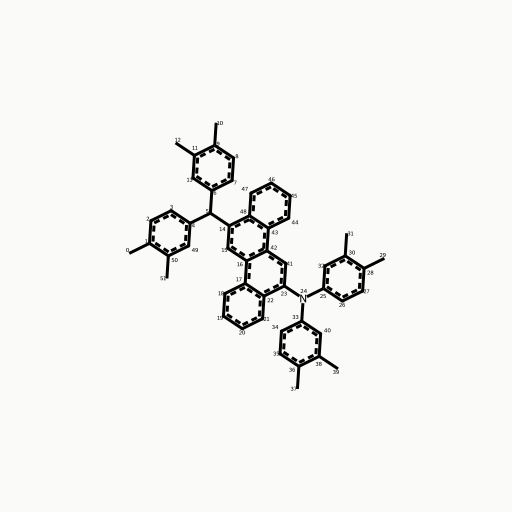 Cc1ccc(C(c2ccc(C)c(C)c2)c2cc3c4ccccc4c(N(c4ccc(C)c(C)c4)c4ccc(C)c(C)c4)cc3c3ccccc23)cc1C